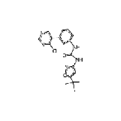 CC(C)(C)c1cc(NC(=O)Nc2cccc(-c3cncnc3Cl)c2)no1